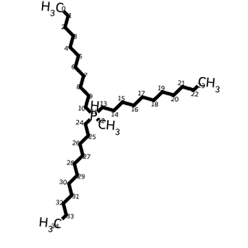 CCCCCCCCCCC[PH](C)(CCCCCCCCCCC)CCCCCCCCCCC